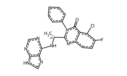 C[C@@H](Nc1ncnc2[nH]cnc12)c1nc2ccc(F)c(Cl)c2c(=O)n1-c1ccccc1